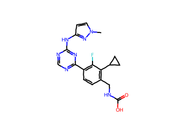 Cn1ccc(Nc2ncnc(-c3ccc(CNC(=O)O)c(C4CC4)c3F)n2)n1